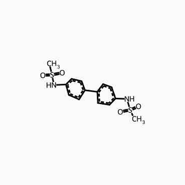 CS(=O)(=O)Nc1ccc(-c2ccc(NS(C)(=O)=O)cc2)cc1